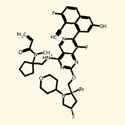 C#Cc1c(F)ccc2cc(O)cc(-c3ncc4c(NCC5(N(C)C(=O)C=C)CCCC5)nc(OC[C@]5(C(C)C)C[C@@H](F)CN5C5CCOCC5)nc4c3F)c12